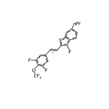 CCCc1ccc2c(F)c(/C=C/c3cc(F)c(OC(F)(F)F)c(F)c3)sc2c1